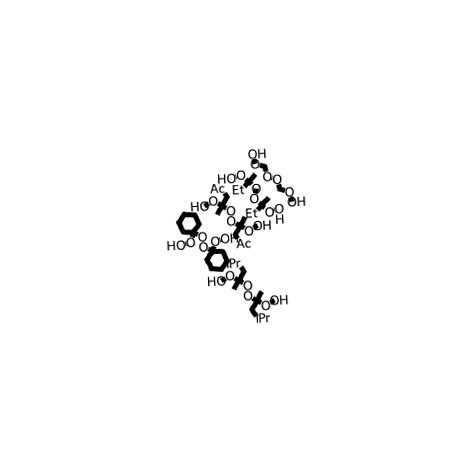 CC(=O)CC(C)(OO)OOC(C)(CC(C)=O)OO.CC(C)CC(C)(OO)OOC(C)(CC(C)C)OO.CCC(C)(OO)OOC(C)(CC)OO.OOC1(OOC2(OO)CCCCC2)CCCCC1.OOCOOCOO